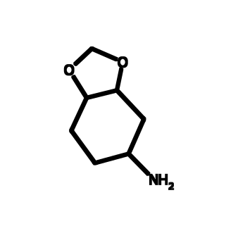 NC1CCC2OCOC2C1